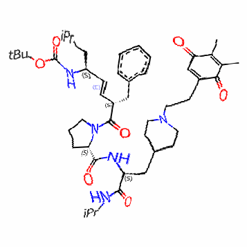 CC1=C(C)C(=O)C(CCN2CCC(C[C@H](NC(=O)[C@@H]3CCCN3C(=O)[C@H](/C=C/[C@H](CC(C)C)NC(=O)OC(C)(C)C)Cc3ccccc3)C(=O)NC(C)C)CC2)=CC1=O